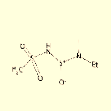 CCN(C)[S+]([O-])NS(=O)(=O)C(F)(F)F